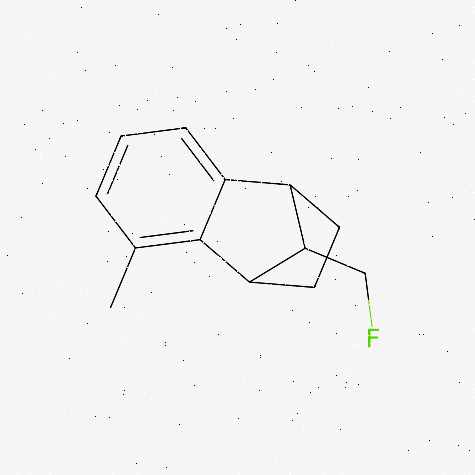 Cc1cccc2c1C1CCC2C1CF